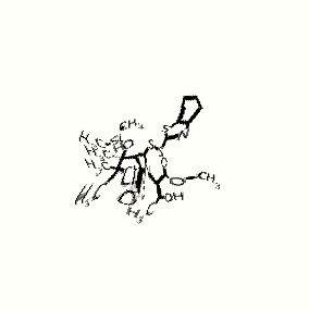 COC(=O)/C(=C(/C)O)N1C(=O)C([C@](C)(O[SiH](C)C)C(C)(C)C)C1SSc1nc2ccccc2s1